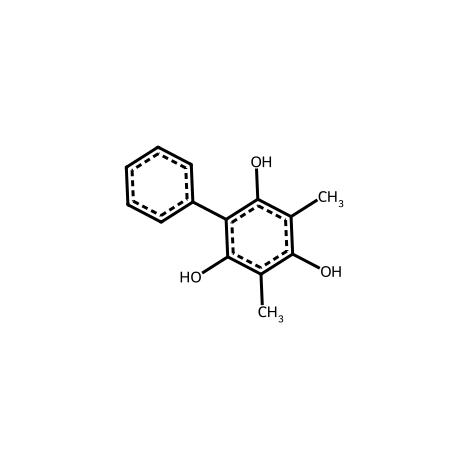 Cc1c(O)c(C)c(O)c(-c2ccccc2)c1O